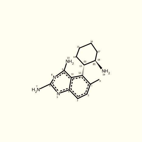 Cc1ccc2nc(N)nc(N)c2c1[C@@H]1CCCC[C@H]1N